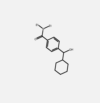 CCN(CC)C(=O)c1ccc(C(O)C2CCCCC2)cc1